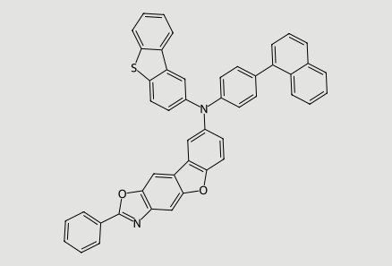 c1ccc(-c2nc3cc4oc5ccc(N(c6ccc(-c7cccc8ccccc78)cc6)c6ccc7sc8ccccc8c7c6)cc5c4cc3o2)cc1